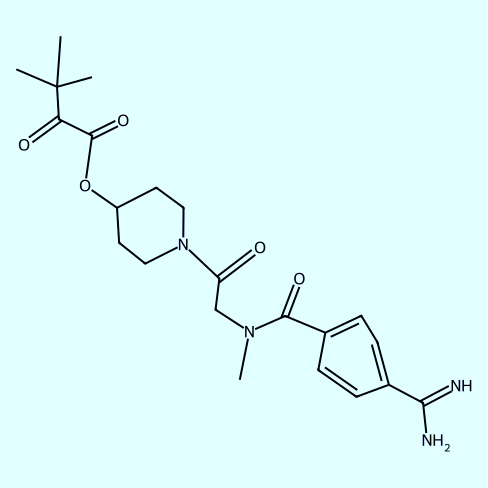 CN(CC(=O)N1CCC(OC(=O)C(=O)C(C)(C)C)CC1)C(=O)c1ccc(C(=N)N)cc1